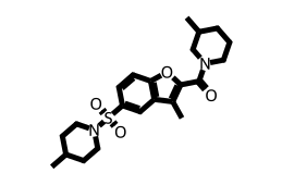 Cc1c(C(=O)N2CCCC(C)C2)oc2ccc(S(=O)(=O)N3CCC(C)CC3)cc12